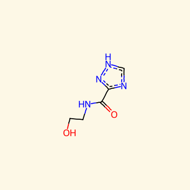 O=C(NCCO)c1nc[nH]n1